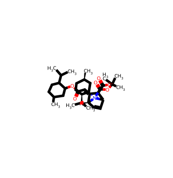 CC1CCC(C(C)C)C(OC(=O)/C=C2/C(C(=O)[O-])C3C=C[C@H]2[N+]3(C(=O)OC(C)(C)C)[C@H]2C[C@H](C)CC[C@@H]2C(C)C)C1